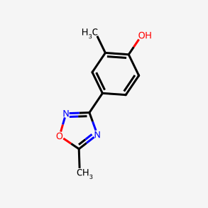 Cc1nc(-c2ccc(O)c(C)c2)no1